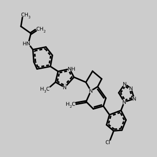 C=C(CC)Nc1ccc(-c2[nH]c(C3CCC4=CC(c5cc(Cl)ccc5-n5cnnn5)=CC(=C)N43)nc2C)cc1